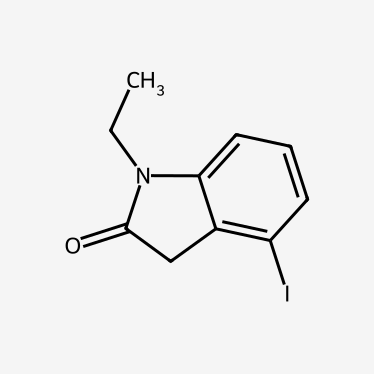 CCN1C(=O)Cc2c(I)cccc21